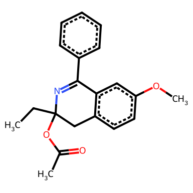 CCC1(OC(C)=O)Cc2ccc(OC)cc2C(c2ccccc2)=N1